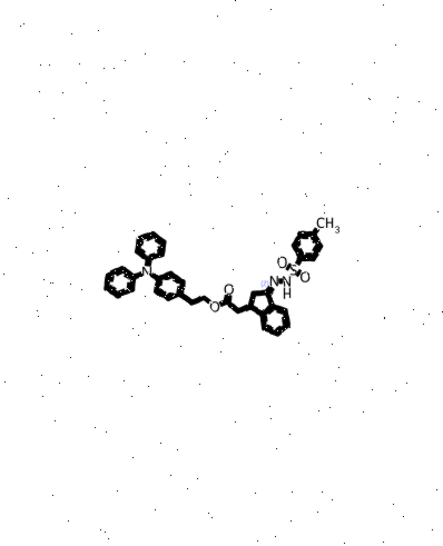 Cc1ccc(S(=O)(=O)N/N=C2/CC(CC(=O)OCCc3ccc(N(c4ccccc4)c4ccccc4)cc3)c3ccccc32)cc1